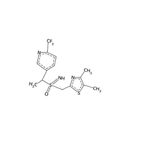 Cc1nc(CS(=N)(=O)C(C)c2ccc(C(F)(F)F)nc2)sc1C